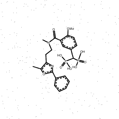 COc1ccc(C(P(=O)(O)O)P(=O)(O)O)cc1C(=O)N(C)CCc1nc(-c2ccccc2)oc1C